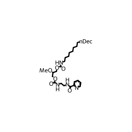 CCCCCCCCCCCCCCCCCCNC(=O)OCC(COC(=O)NCCNC(=O)c1ccccn1)OC